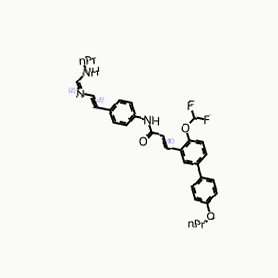 CCCN/C=N\C=C\c1ccc(NC(=O)/C=C/c2cc(-c3ccc(OCCC)cc3)ccc2OC(F)F)cc1